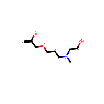 C=C(O)COCCCN(C)CCO